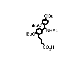 CC(=O)NC(c1ccc(OCC(C)C)c(CCCCC(=O)O)c1)c1ccc(OCC(C)C)cc1OCC(C)C